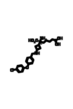 N[C@](CCCCB(O)O)(C(=O)O)C1CC(NCc2ccc(Oc3ccc(Cl)cc3)cc2)C1